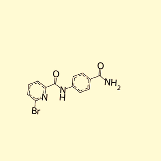 NC(=O)c1ccc(NC(=O)c2cccc(Br)n2)cc1